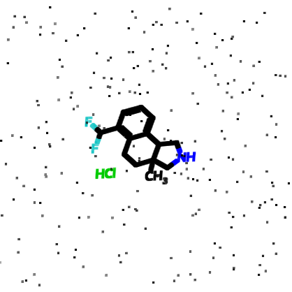 CC12CCc3c(C(F)F)cccc3C1CNC2.Cl